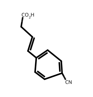 N#Cc1ccc(/C=C/CC(=O)O)cc1